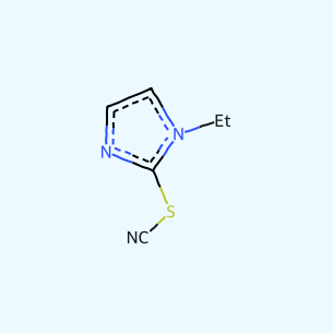 CCn1ccnc1SC#N